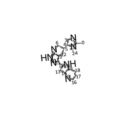 Cc1ncc(-c2cnc3[nH]nc(-c4cc5ncccc5[nH]4)c3c2)n1C